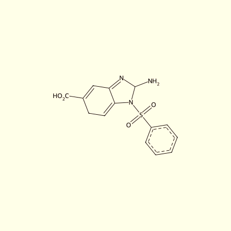 NC1N=C2C=C(C(=O)O)CC=C2N1S(=O)(=O)c1ccccc1